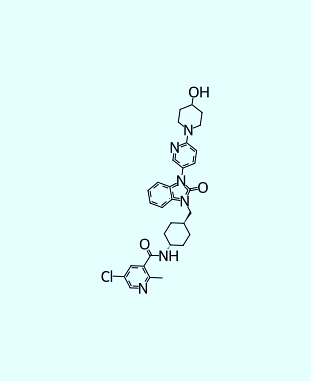 Cc1ncc(Cl)cc1C(=O)N[C@H]1CC[C@H](Cn2c(=O)n(-c3ccc(N4CCC(O)CC4)nc3)c3ccccc32)CC1